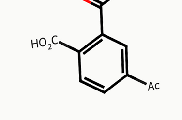 CC(=O)c1ccc(C(=O)O)c(C(=O)C(C)C)c1